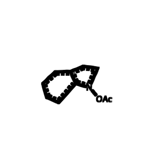 CC(=O)On1ccc2ccccc21